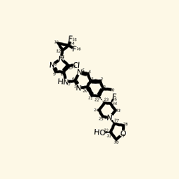 Cc1cc2cnc(Nc3cnn(C4CC4(F)F)c3Cl)nc2cc1[C@H]1CCN([C@H]2COC[C@H]2O)C[C@@H]1F